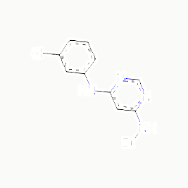 CCNc1cc(Nc2cccc(Cl)c2)ncn1